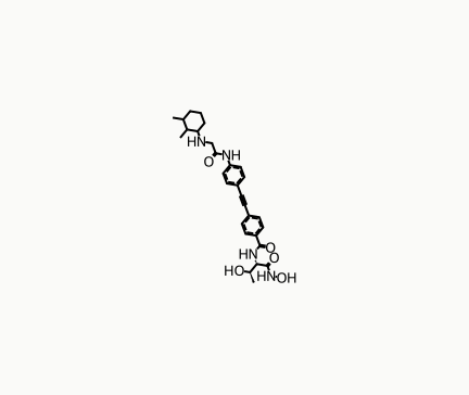 CC1CCCC(NCC(=O)Nc2ccc(C#Cc3ccc(C(=O)N[C@H](C(=O)NO)[C@@H](C)O)cc3)cc2)C1C